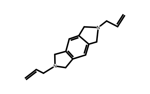 C=CCN1Cc2cc3c(cc2C1)CN(CC=C)C3